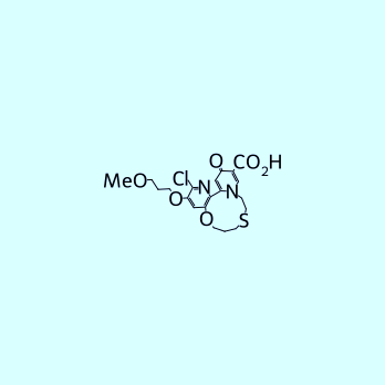 COCCCOc1cc2c(nc1Cl)-c1cc(=O)c(C(=O)O)cn1CCSCCCO2